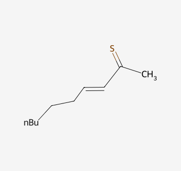 CCCCCC/C=C/C(C)=S